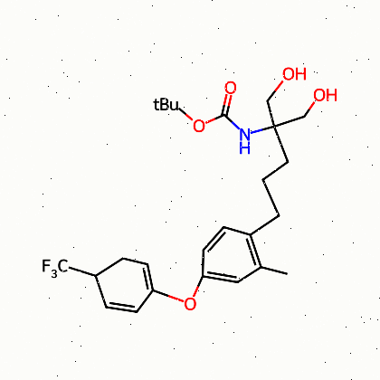 Cc1cc(OC2=CCC(C(F)(F)F)C=C2)ccc1CCCC(CO)(CO)NC(=O)OC(C)(C)C